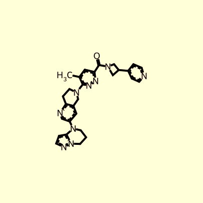 Cc1cc(C(=O)N2CC(c3ccncc3)C2)nnc1N1CCc2ncc(N3CCCn4nccc43)cc2C1